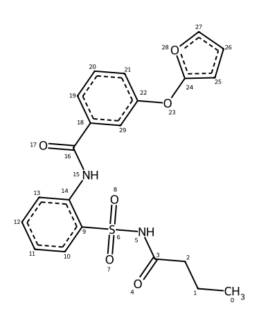 CCCC(=O)NS(=O)(=O)c1ccccc1NC(=O)c1cccc(Oc2ccco2)c1